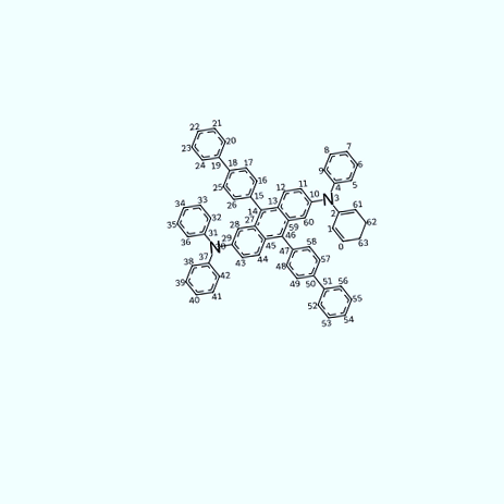 C1=CC(N(c2ccccc2)c2ccc3c(-c4ccc(-c5ccccc5)cc4)c4cc(N(c5ccccc5)c5ccccc5)ccc4c(-c4ccc(-c5ccccc5)cc4)c3c2)=CCC1